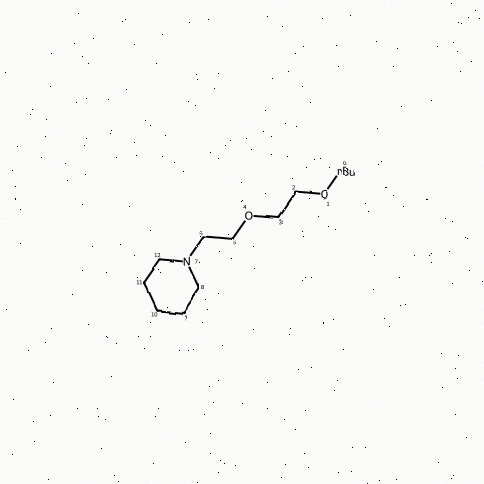 CCCCOCCOCCN1CCCCC1